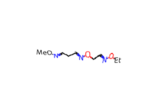 CCON=CCO/N=[C]/CC=NOC